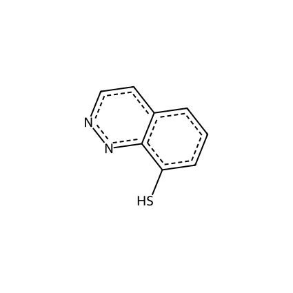 Sc1cccc2ccnnc12